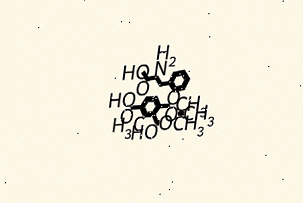 Cc1c(C(=O)O)ccc(C(=O)OC(C)(C)C)c1C(=O)O.NC(Cc1ccccc1)C(=O)O